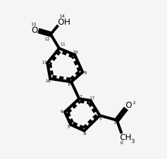 CC(=O)c1cccc(-c2ccc(C(=O)O)cc2)c1